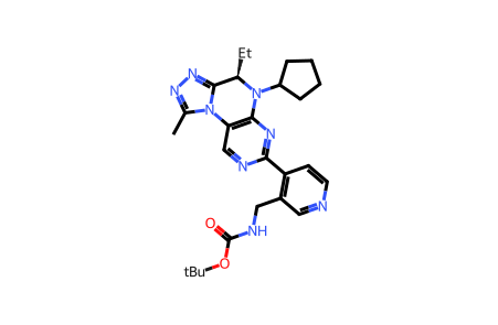 CC[C@@H]1c2nnc(C)n2-c2cnc(-c3ccncc3CNC(=O)OC(C)(C)C)nc2N1C1CCCC1